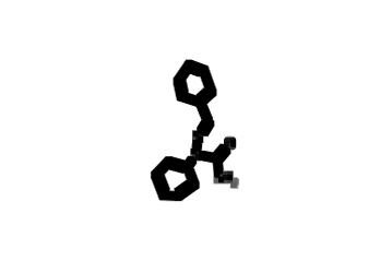 NC(=O)N(N=Cc1ccccc1)c1ccccc1